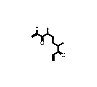 C=CC(=O)C(C)CCC(C)C(=O)C(=C)F